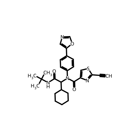 C#Cc1nc(C(=O)N(c2ccc(-c3cnco3)cc2)C(C(=O)NC(C)(C)C)C2CCCCC2)cs1